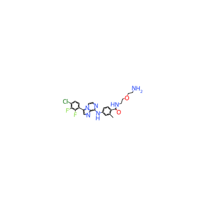 Cc1cc(Nc2nccn3c(-c4ccc(Cl)c(F)c4F)cnc23)ccc1C(=O)NCCOCCN